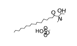 CCCCCCCCCCCCCCCC(=O)C(C(C)O)N(C)C.COS(=O)(=O)O